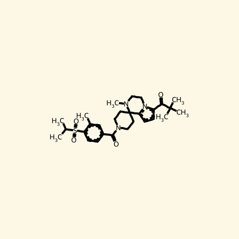 Cc1cc(C(=O)N2CCC3(CC2)c2ccc(C(=O)C(C)(C)C)n2CCN3C)ccc1S(=O)(=O)C(C)C